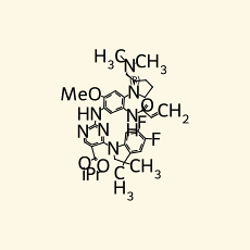 C=CC(=O)Nc1cc(Nc2ncc(C(=O)OC(C)C)c(N3CC(C)(C)c4cc(F)c(F)cc43)n2)c(OC)cc1N1CCC[C@@H]1CN(C)C